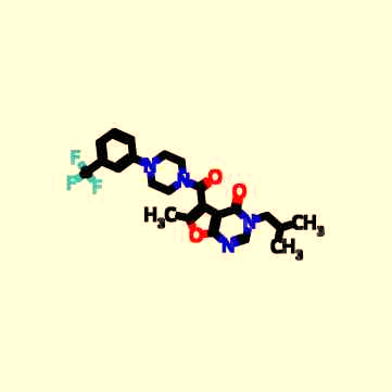 Cc1oc2ncn(CC(C)C)c(=O)c2c1C(=O)N1CCN(c2cccc(C(F)(F)F)c2)CC1